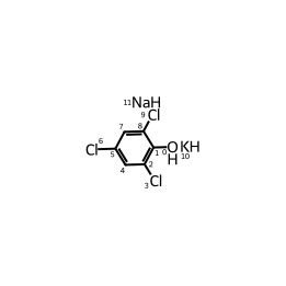 Oc1c(Cl)cc(Cl)cc1Cl.[KH].[NaH]